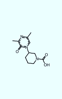 Cc1cn(C2CCCN(C(=O)O)C2)c(=O)c(C)n1